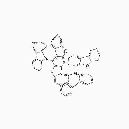 c1ccc(-c2ccccc2N(c2cccc3c2oc2ccccc23)c2cccc3oc4c(-n5c6ccccc6c6ccccc65)c5c(cc4c23)oc2ccccc25)cc1